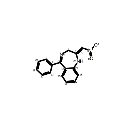 O=[N+]([O-])/C=C1/CN=C(c2ccccc2)c2ccccc2N1